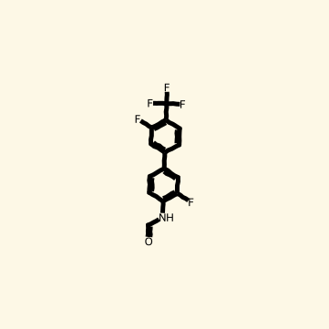 O=CNc1ccc(-c2ccc(C(F)(F)F)c(F)c2)cc1F